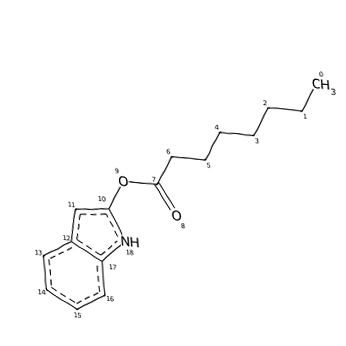 CCCCCCCC(=O)Oc1cc2ccccc2[nH]1